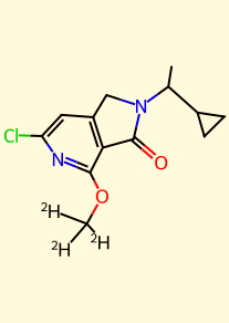 [2H]C([2H])([2H])Oc1nc(Cl)cc2c1C(=O)N(C(C)C1CC1)C2